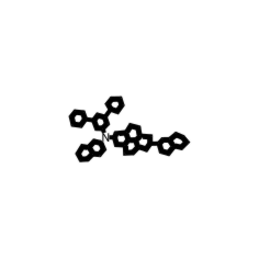 c1ccc(-c2cc(-c3ccccc3)cc(N(c3ccc4ccccc4c3)c3cc4ccc5cc(-c6ccc7ccccc7c6)cc6ccc(c3)c4c56)c2)cc1